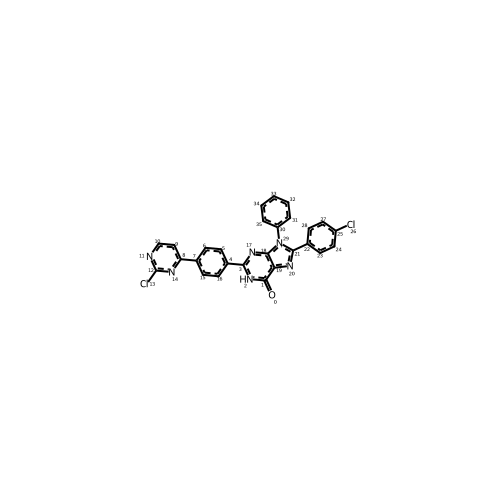 O=c1[nH]c(-c2ccc(-c3ccnc(Cl)n3)cc2)nc2c1nc(-c1ccc(Cl)cc1)n2-c1ccccc1